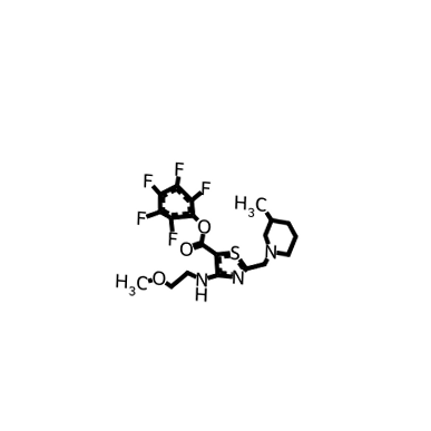 COCCNc1nc(CN2CCCC(C)C2)sc1C(=O)Oc1c(F)c(F)c(F)c(F)c1F